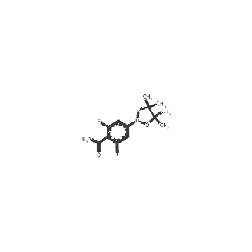 CC1(C)OB(c2cc(F)c(C(N)=O)c(F)c2)OC1(C)C